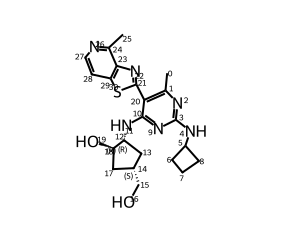 Cc1nc(NC2CCC2)nc(N[C@@H]2C[C@H](CO)C[C@H]2O)c1-c1nc2c(C)nccc2s1